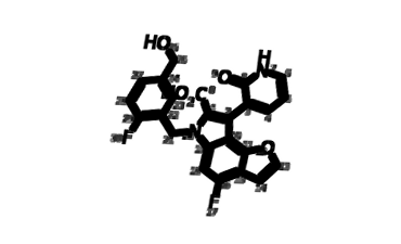 O=C(O)c1c(-c2ccc[nH]c2=O)c2c3occc3c(F)cc2n1Cc1cc(CO)ccc1F